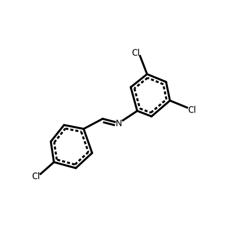 Clc1ccc(/C=N/c2cc(Cl)cc(Cl)c2)cc1